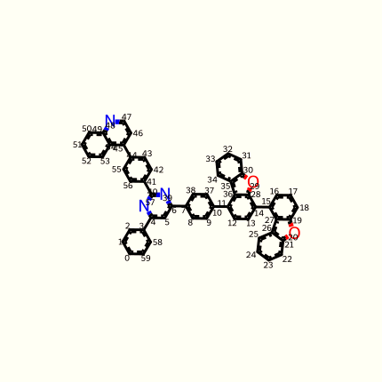 c1ccc(-c2cc(-c3ccc(-c4ccc(-c5cccc6oc7ccccc7c56)c5oc6ccccc6c45)cc3)nc(-c3ccc(-c4ccnc5ccccc45)cc3)n2)cc1